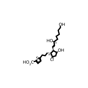 O=C(O)c1ccc(CCC[C@@H]2[C@@H](C=C[C@@H](O)CCCCCO)[C@H](O)C[C@H]2Cl)s1